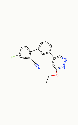 CCOc1cc(-c2cccc(-c3ccc(F)cc3C#N)c2)cnn1